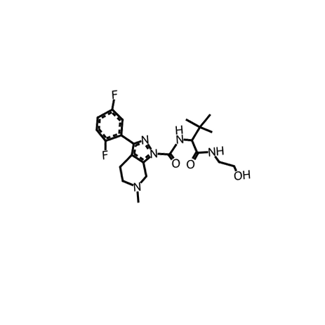 CN1CCc2c(-c3cc(F)ccc3F)nn(C(=O)NC(C(=O)NCCO)C(C)(C)C)c2C1